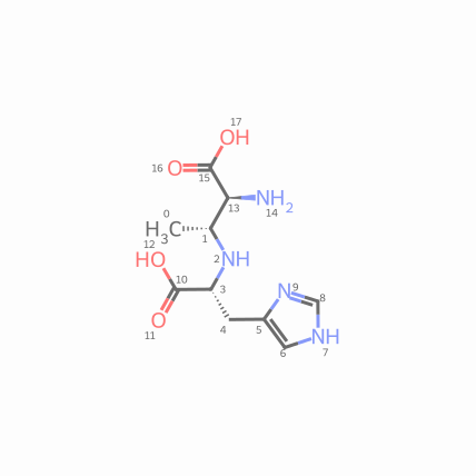 C[C@@H](N[C@H](Cc1c[nH]cn1)C(=O)O)[C@H](N)C(=O)O